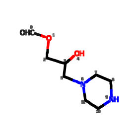 O=COCC(O)CN1CCNCC1